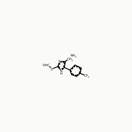 Cc1nc(OC=O)[nH]c1-c1ccc(C(F)(F)F)cc1.N